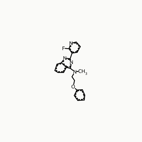 CN(CCOc1ccccc1)c1nc(-c2cccnc2F)nc2ccccc12